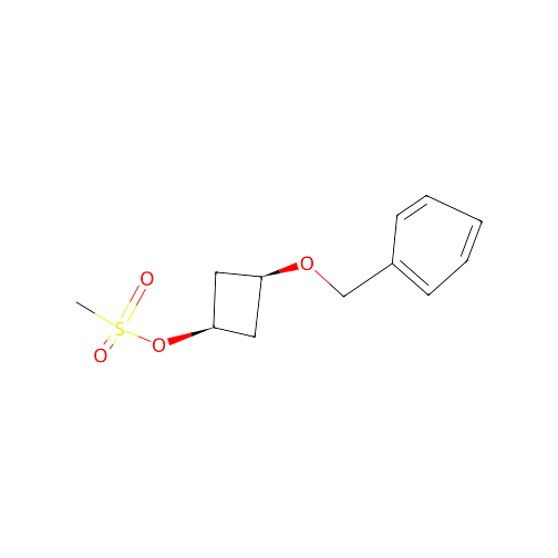 CS(=O)(=O)O[C@H]1C[C@@H](OCc2ccccc2)C1